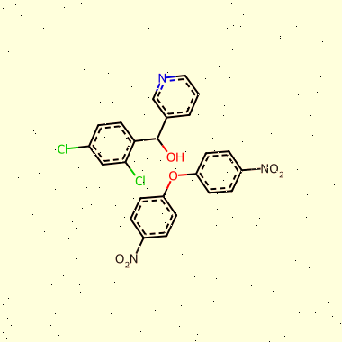 O=[N+]([O-])c1ccc(Oc2ccc([N+](=O)[O-])cc2)cc1.OC(c1cccnc1)c1ccc(Cl)cc1Cl